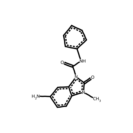 Cn1c(=O)n(C(=O)Nc2ccccc2)c2cc(N)ccc21